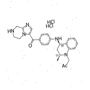 CC(=O)CN1c2ccccc2[C@H](Nc2ccc(C(=O)c3cnc4n3CCNC4)cc2)C[C@@H]1C.Cl.Cl